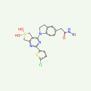 CCNC(=O)Cc1ccc2c(c1)CCN2c1nc(-c2ccc(Cl)s2)nc2c1CS(O)(O)C2